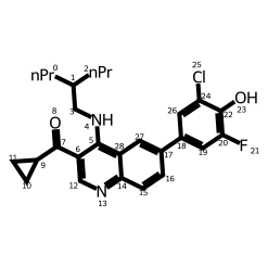 CCCC(CCC)CNc1c(C(=O)C2CC2)cnc2ccc(-c3cc(F)c(O)c(Cl)c3)cc12